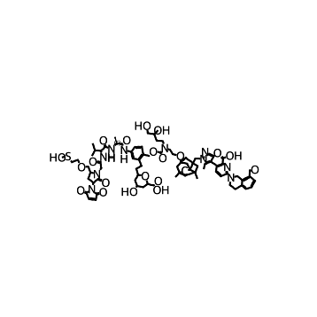 Cc1c(-c2ccc(N3CCc4cccc(C=O)c4C3)nc2C(=O)O)cnn1CC12CC3(OCCN(CCC(O)CO)C(=O)OCc4ccc(NC(=O)[C@H](C)NC(=O)C(NC(=O)CN5C(=O)C(N6C(=O)C=CC6=O)CC5COCCSO)C(C)C)cc4CCC4CC(O)CC(C(=O)O)O4)CC4(C)CC(C)(C1)C2(C4)C3